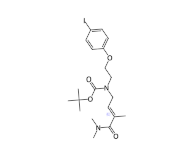 C/C(=C\CN(CCOc1ccc(I)cc1)C(=O)OC(C)(C)C)C(=O)N(C)C